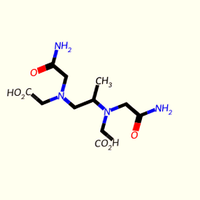 CC(CN(CC(N)=O)CC(=O)O)N(CC(N)=O)CC(=O)O